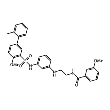 COc1cccc(C(=O)NCCNc2cccc(NS(=O)(=O)c3cc(-c4ccccc4C)ccc3OC)c2)c1